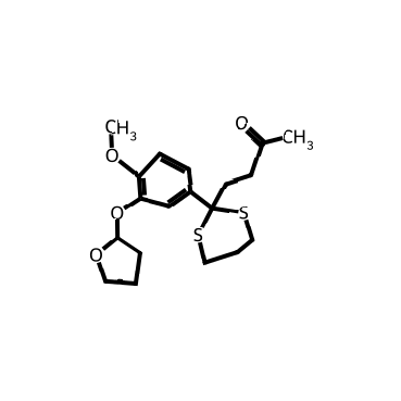 COc1ccc(C2(CCC(C)=O)SCCCS2)cc1OC1CCCO1